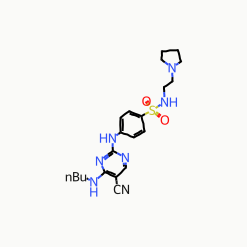 CCCCNc1nc(Nc2ccc(S(=O)(=O)NCCN3CCCC3)cc2)ncc1C#N